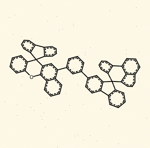 c1cc(-c2ccc3c(c2)C2(c4ccccc4-3)c3ccccc3-c3cccc4cccc2c34)cc(-c2cc3c(c4ccccc24)Oc2ccccc2C32c3ccccc3-c3ccccc32)c1